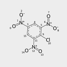 O=[N+]([O-])c1cc([N+](=O)[O-])c(Cl)c([N+](=O)[O-])c1